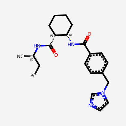 CC(C)C[C@@H](C#N)NC(=O)[C@@H]1CCCC[C@@H]1NC(=O)c1ccc(Cn2ccnc2)cc1